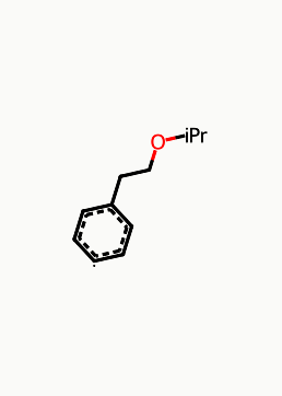 CC(C)OCCc1cc[c]cc1